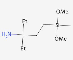 CCC(N)(CC)CC[Si](C)(OC)OC